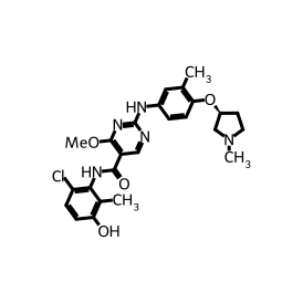 COc1nc(Nc2ccc(O[C@H]3CCN(C)C3)c(C)c2)ncc1C(=O)Nc1c(Cl)ccc(O)c1C